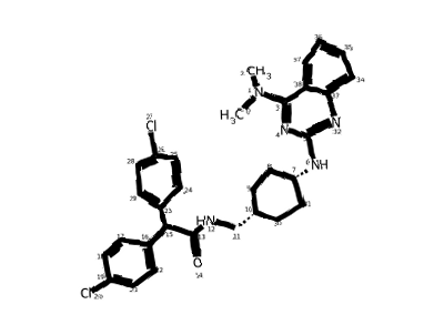 CN(C)c1nc(N[C@H]2CC[C@@H](CNC(=O)C(c3ccc(Cl)cc3)c3ccc(Cl)cc3)CC2)nc2ccccc12